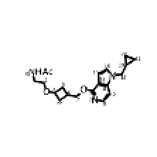 CC(=O)NCCOC1CC(COc2nccc3c2ccn3CC2CC2)C1